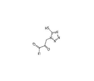 CCC(=O)C(=O)Cn1nnnc1S